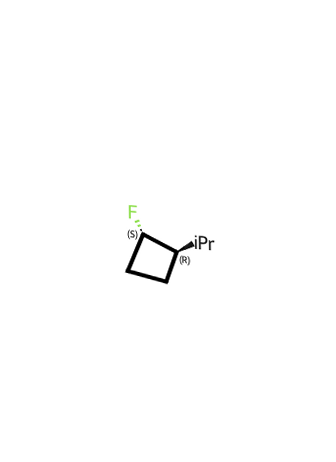 CC(C)[C@H]1CC[C@@H]1F